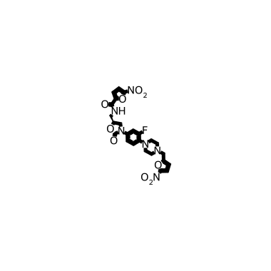 O=C(NC[C@H]1CN(c2ccc(N3CCN(Cc4ccc([N+](=O)[O-])o4)CC3)c(F)c2)C(=O)O1)c1ccc([N+](=O)[O-])o1